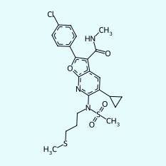 CNC(=O)c1c(-c2ccc(Cl)cc2)oc2nc(N(CCCSC)S(C)(=O)=O)c(C3CC3)cc12